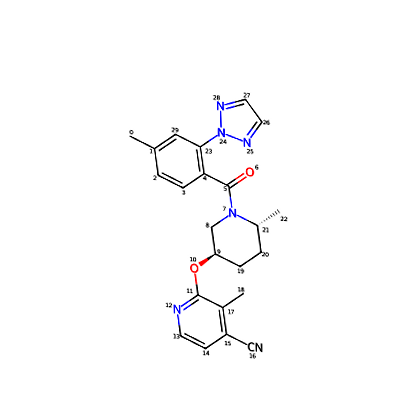 Cc1ccc(C(=O)N2C[C@H](Oc3nccc(C#N)c3C)CC[C@H]2C)c(-n2nccn2)c1